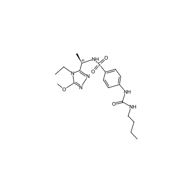 CCCCNC(=O)Nc1ccc(S(=O)(=O)N[C@H](C)c2nnc(OC)n2CC)cc1